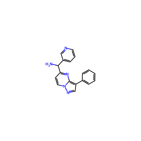 NC(c1cccnc1)c1ccn2ncc(-c3ccccc3)c2n1